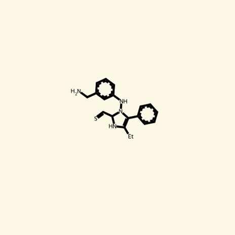 CCC1=C(c2ccccc2)N(Nc2cccc(CN)c2)C(C=S)N1